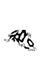 COCCO/N=C1\c2cc(N[C@H]3CC[C@H](N)CC3)ccc2-c2ncnc(N)c2C1(C)C